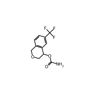 NC(=O)OC1COCc2ccc(C(F)(F)F)cc21